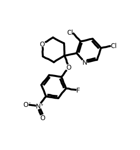 O=[N+]([O-])c1ccc(OC2(c3ncc(Cl)cc3Cl)CCOCC2)c(F)c1